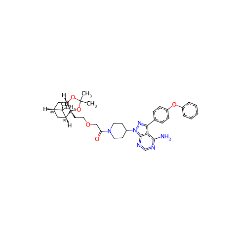 CC1(C)O[C@H]2C[C@H]3C[C@H](C3(C)C)[C@@]2(CCOCC(=O)N2CCC(n3nc(-c4ccc(Oc5ccccc5)cc4)c4c(N)ncnc43)CC2)O1